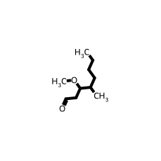 CCCCC(C)C(CC=O)OC